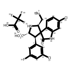 CC(C)(C)C[C@@H]1N[C@@H](C(=O)O)[C@H](c2cc(F)cc(Cl)c2)C12C(=O)Nc1cc(Cl)ccc12.O=C(O)C(F)(F)F